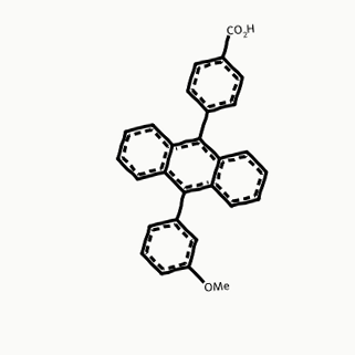 COc1cccc(-c2c3ccccc3c(-c3ccc(C(=O)O)cc3)c3ccccc23)c1